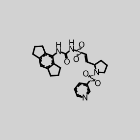 O=C(Nc1c2c(cc3c1CCC3)CCC2)NS(=O)(=O)C=CC1CCCN1S(=O)(=O)c1cccnc1